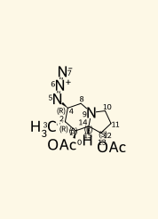 CC(=O)O[C@H]1[C@H](C)[C@@H](N=[N+]=[N-])CN2CC[C@H](OC(C)=O)[C@H]12